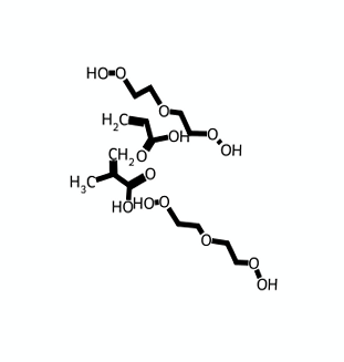 C=C(C)C(=O)O.C=CC(=O)O.OOCCOCCOO.OOCCOCCOO